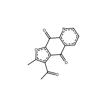 CC(=O)c1c(C)oc2c1C(=O)c1cccnc1C2=O